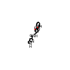 CC(C)(C)OC(=O)N1C2=C=CC[C@@H]1CN(c1ccc(CCNC(=O)c3cnc4[nH]ccc4c3)cc1)C2